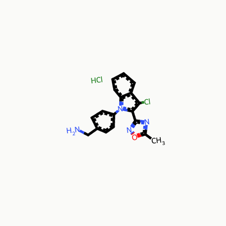 Cc1nc(-c2c(Cl)c3ccccc3n2-c2ccc(CN)cc2)no1.Cl